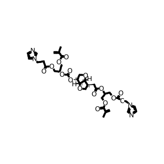 C=C(C)C(=O)OCC(COC(=O)CCn1ccnc1)OC(=O)C[C@H]1CO[C@H]2[C@@H]1OC[C@H]2OC(=O)OC(COC(=O)CCn1ccnc1)COC(=O)C(=C)C